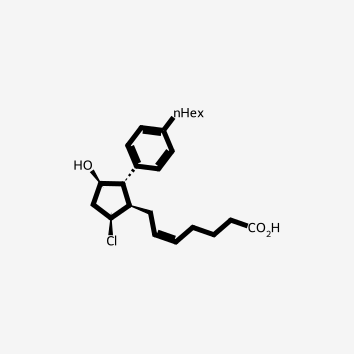 CCCCCCc1ccc([C@@H]2[C@@H](C/C=C\CCCC(=O)O)[C@@H](Cl)C[C@H]2O)cc1